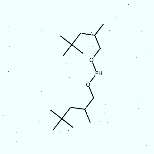 CC(COPOCC(C)CC(C)(C)C)CC(C)(C)C